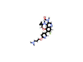 CN(C)CCCOc1ccc(-c2c(F)cc3ncc(N(C)C=O)c4c3c2OCC2(CC2)N4C)cn1